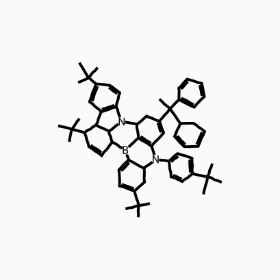 CC(C)(C)C1=CC=C2B3C4=C(C=C(C(C)(c5ccccc5)C5C=CC=CC5)CC4N4c5ccc(C(C)(C)C)cc5C5C4C3C=CC5C(C)(C)C)N(c3ccc(C(C)(C)C)cc3)C2C1